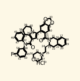 Cl.O=C(c1cc(-c2cc3c(cc2C(=O)N2Cc4ccccc4C[C@H]2CCN2CCOCC2)OCO3)n2c1CCCC2)N(c1ccccc1)c1cccc(F)c1